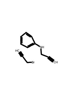 C#CCBr.C#CCNc1ccccc1